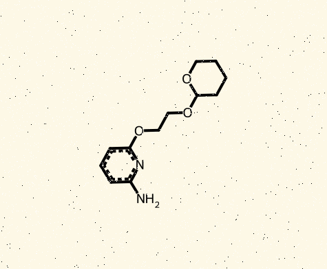 Nc1cccc(OCCOC2CCCCO2)n1